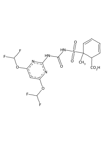 CC1(S(=O)(=O)NC(=O)Nc2nc(OC(F)F)cc(OC(F)F)n2)C=CC=CC1C(=O)O